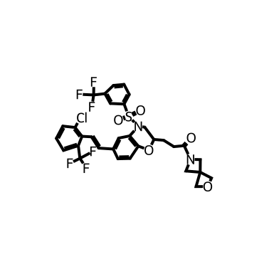 O=C(CCC1CN(S(=O)(=O)c2cccc(C(F)(F)F)c2)c2cc(C=Cc3c(Cl)cccc3C(F)(F)F)ccc2O1)N1CC2(COC2)C1